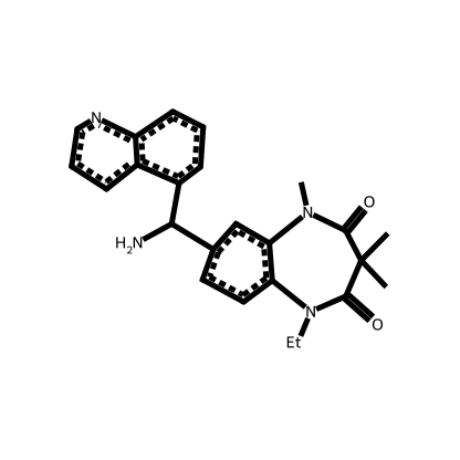 CCN1C(=O)C(C)(C)C(=O)N(C)c2cc(C(N)c3cccc4ncccc34)ccc21